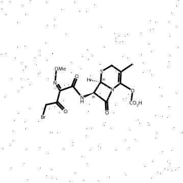 CO/N=C(/C(=O)CBr)C(=O)N[C@@H]1C(=O)N2C(OC(=O)O)=C(C)CS[C@H]12